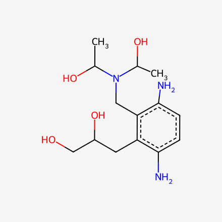 CC(O)N(Cc1c(N)ccc(N)c1CC(O)CO)C(C)O